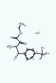 CCOC(=O)C(=O)C(C)C([O-])c1ccc(C(F)(F)F)cc1.[Li+]